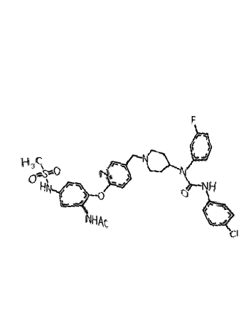 CC(=O)Nc1cc(NS(C)(=O)=O)ccc1Oc1ccc(CN2CCC(N(C(=O)Nc3ccc(Cl)cc3)c3cccc(F)c3)CC2)cn1